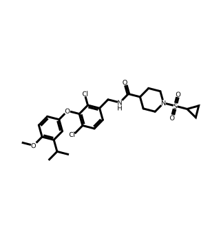 COc1ccc(Oc2c(Cl)ccc(CNC(=O)C3CCN(S(=O)(=O)C4CC4)CC3)c2Cl)cc1C(C)C